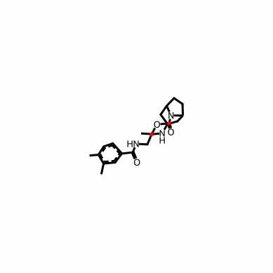 CCOC(=O)N1C2CCC1CC(NCCNC(=O)c1ccc(C)c(C)c1)C2